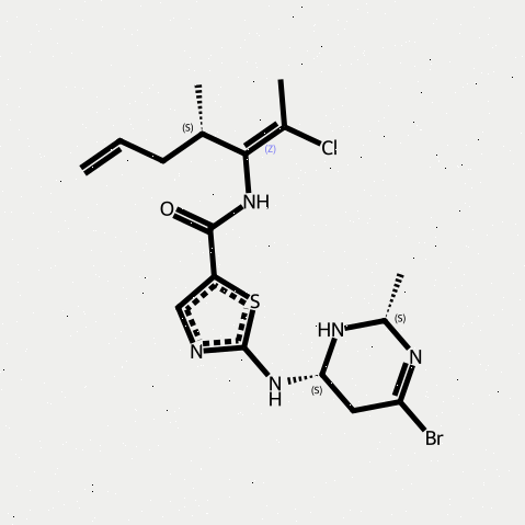 C=CC[C@H](C)/C(NC(=O)c1cnc(N[C@H]2CC(Br)=N[C@@H](C)N2)s1)=C(\C)Cl